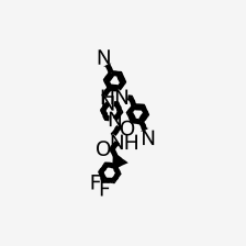 N#Cc1ccc(CNc2ccc(C#N)cc2CN2CCN(C(=O)CNC(=O)C3CC34CCC(F)(F)CC4)CC2)cc1